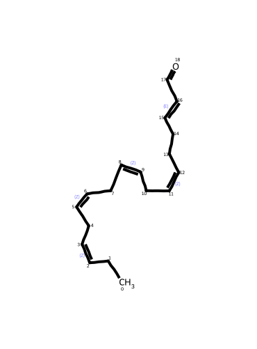 CC/C=C\C/C=C\C/C=C\C/C=C\CC/C=C/C=O